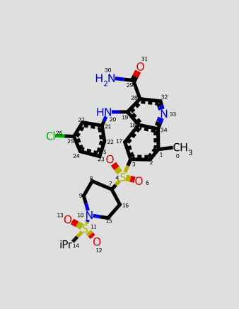 Cc1cc(S(=O)(=O)C2CCN(S(=O)(=O)C(C)C)CC2)cc2c(Nc3cccc(Cl)c3)c(C(N)=O)cnc12